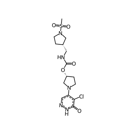 CS(=O)(=O)N1CC[C@@H](CNC(=O)O[C@@H]2CCN(c3cn[nH]c(=O)c3Cl)C2)C1